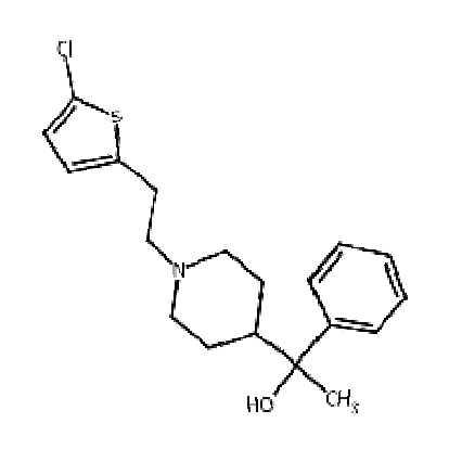 CC(O)(c1ccccc1)C1CCN(CCc2ccc(Cl)s2)CC1